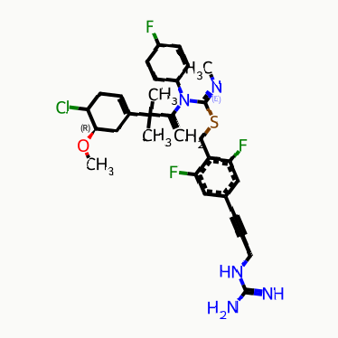 C=C(N(/C(=N\C)SCc1c(F)cc(C#CCNC(=N)N)cc1F)C1C=CC(F)CC1)C(C)(C)C1=CCC(Cl)[C@H](OC)C1